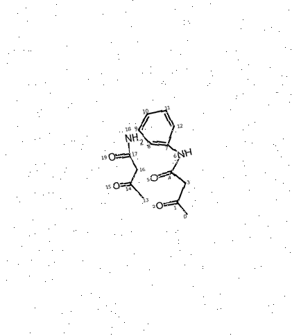 CC(=O)CC(=O)Nc1ccccc1.CC(=O)CC(N)=O